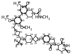 CNC(=O)N1CCc2c(-c3cc(OC)c(CN4CC(C(N5CCC6(CC5)CN(c5ccc7c(c5)C(=O)N(C5CCC(=O)NC5=O)C7)C6)C(F)(F)F)C4)c(OC)c3)cn(C)c(=O)c2C1